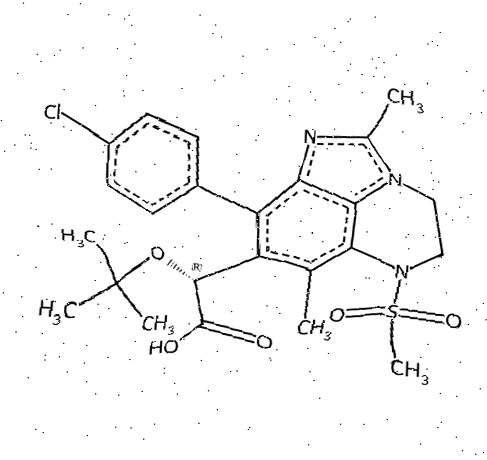 Cc1c([C@@H](OC(C)(C)C)C(=O)O)c(-c2ccc(Cl)cc2)c2nc(C)n3c2c1N(S(C)(=O)=O)CC3